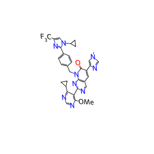 COc1ncnc(C2CC2)c1-c1ncc2cc(-c3cn(C)cn3)c(=O)n(Cc3ccc(-c4nc(C(F)(F)F)cn4C4CC4)cc3)c2n1